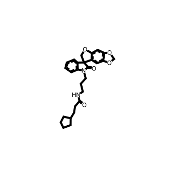 O=C(CCC1CCCC1)NCCCN1C(=O)C2(COc3cc4c(cc32)OCO4)c2ccccc21